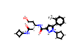 O=C(C[C@H](CCO)NC(=O)c1cc(-c2ccccc2C(F)(F)F)n(C2CCCC2)n1)NC1CCC1